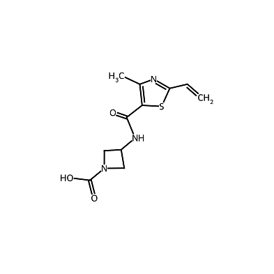 C=Cc1nc(C)c(C(=O)NC2CN(C(=O)O)C2)s1